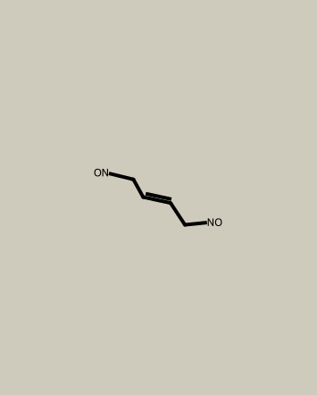 O=NCC=CCN=O